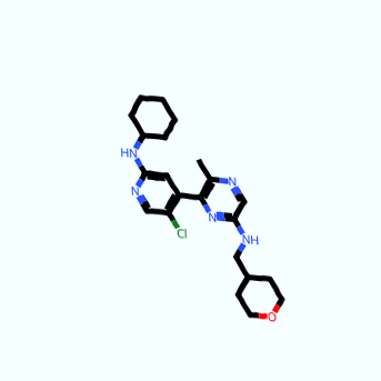 Cc1ncc(NCC2CCOCC2)nc1-c1cc(NC2CCCCC2)ncc1Cl